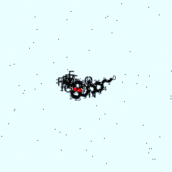 CCCc1ccc2nc(Cc3ccccc3)n(-c3ccc(C(O)(C(F)(F)F)C(F)(F)F)cc3)c(=O)c2c1